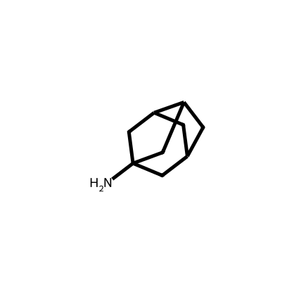 NC12CC3CC(C1)C(C3)C2